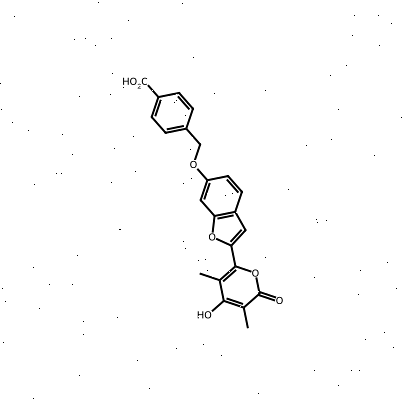 Cc1c(-c2cc3ccc(OCc4ccc(C(=O)O)cc4)cc3o2)oc(=O)c(C)c1O